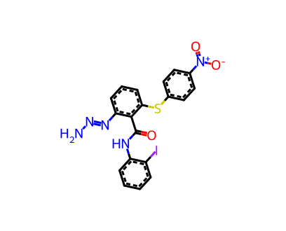 NN=Nc1cccc(Sc2ccc([N+](=O)[O-])cc2)c1C(=O)Nc1ccccc1I